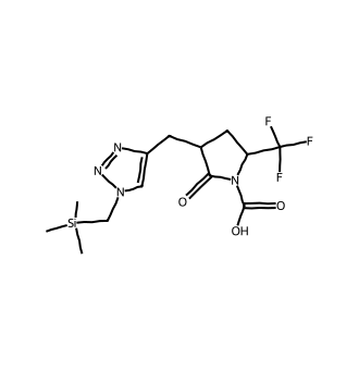 C[Si](C)(C)Cn1cc(CC2CC(C(F)(F)F)N(C(=O)O)C2=O)nn1